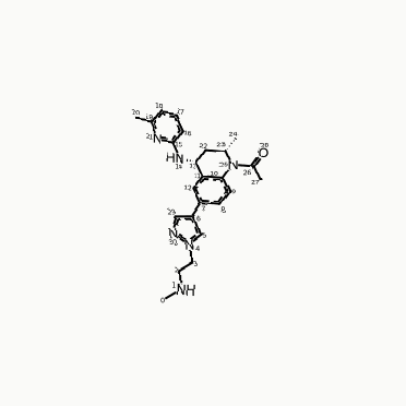 CNCCn1cc(-c2ccc3c(c2)[C@H](Nc2cccc(C)n2)C[C@H](C)N3C(C)=O)cn1